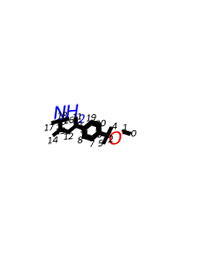 CCOC(C)(C)c1ccc(C(C)CC(C)C(C)(C)N)cc1